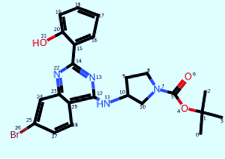 CC(C)(C)OC(=O)N1CCC(Nc2nc(-c3ccccc3O)nc3cc(Br)ccc23)C1